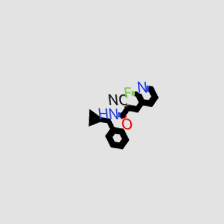 N#C/C(=C\c1cccnc1F)C(=O)N[C@H](c1ccccc1)C1CC1